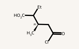 CCC(C(=O)O)[C@H](C)CC(=O)Cl